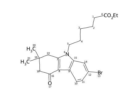 CCOC(=O)CCCCCn1c2c(c3ccc(Br)cc31)C(=O)CC(C)(C)C2